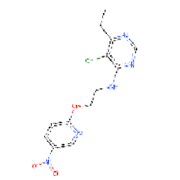 CCc1ncnc(NCCOc2ccc([N+](=O)[O-])cn2)c1Cl